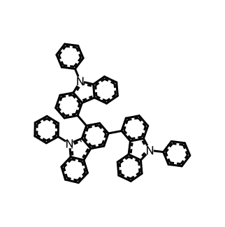 c1ccc(-n2c3ccccc3c3c(-c4cc(-c5cccc6c5c5ccccc5n6-c5ccccc5)c5c(c4)c4ccccc4n5-c4ccccc4)cccc32)cc1